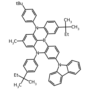 CCC(C)(C)c1ccc(N2c3cc(-n4c5ccccc5c5ccccc54)ccc3B3c4cc(C(C)(C)CC)ccc4N(c4ccc(C(C)(C)C)cc4)c4cc(C)cc2c43)cc1